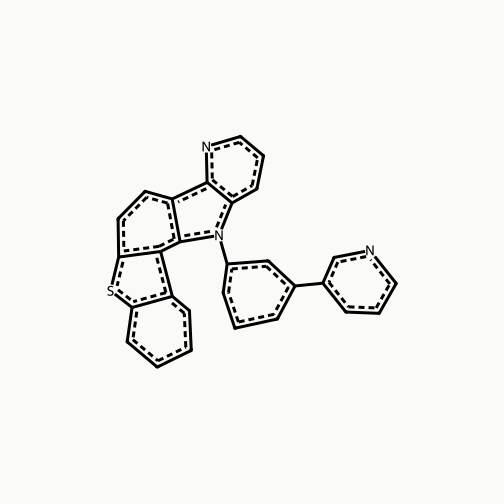 c1cncc(-c2cccc(-n3c4cccnc4c4ccc5sc6ccccc6c5c43)c2)c1